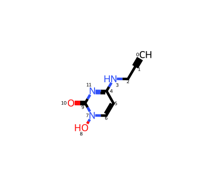 C#CCNc1ccn(O)c(=O)n1